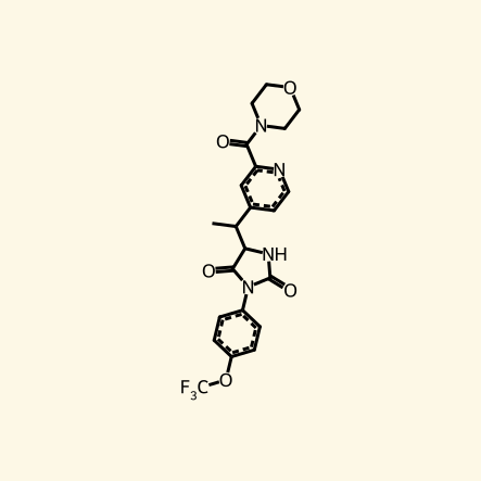 CC(c1ccnc(C(=O)N2CCOCC2)c1)C1NC(=O)N(c2ccc(OC(F)(F)F)cc2)C1=O